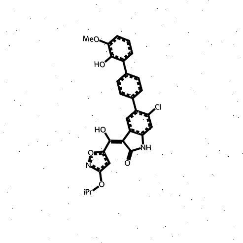 COc1cccc(-c2ccc(-c3cc4c(cc3Cl)NC(=O)/C4=C(/O)c3cc(OC(C)C)no3)cc2)c1O